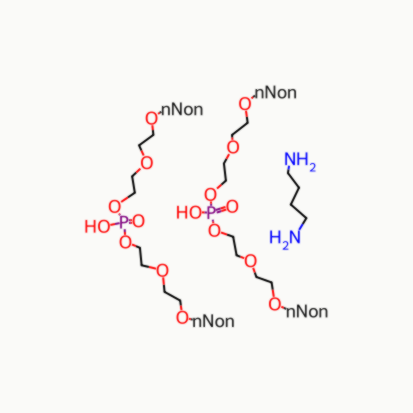 CCCCCCCCCOCCOCCOP(=O)(O)OCCOCCOCCCCCCCCC.CCCCCCCCCOCCOCCOP(=O)(O)OCCOCCOCCCCCCCCC.NCCCCN